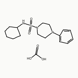 O=C(O)O.O=S(=O)(NC1CCCCC1)N1CCN(c2ccccc2)CC1